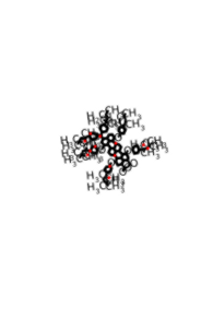 C=C(C)CC(C)(C)c1ccc(Oc2ccc3c(N(c4ccc(C(C)(C)CC(=C)C)cc4)c4ccc(C(C)(C)CC(C)(C)C)cc4)cc(Oc4ccc(C(C)(C)CC(C)(C)C)cc4)c4c5ccc6c7c(Oc8ccc(C(C)(C)CC(C)(C)C)cc8)cc8c9c(cc(Oc%10ccc(C(C)(C)CC(C)(C)C)cc%10)c(c%10ccc(c2c34)c5c%106)c97)C(=O)OC8=O)cc1